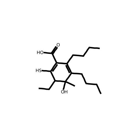 CCCCC1=C(CCCC)C(C)(O)C(CC)C(S)=C1C(=O)O